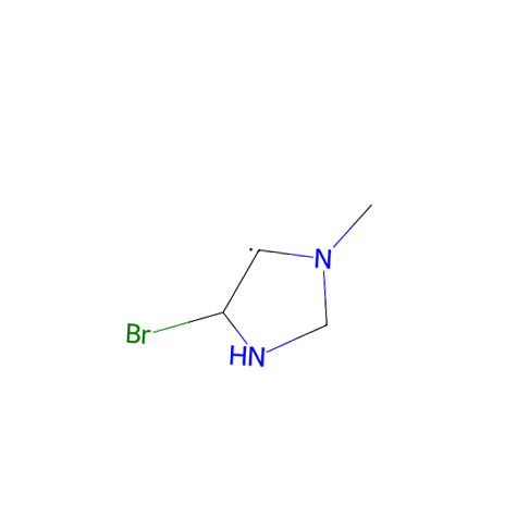 CN1[CH]C(Br)NC1